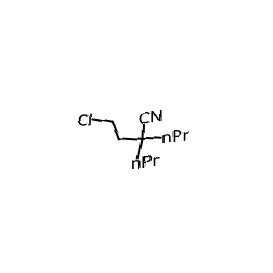 CCCC(C#N)(CCC)CCCl